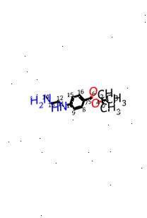 CC(C)(C)OC(=O)c1ccc(NCCN)cc1